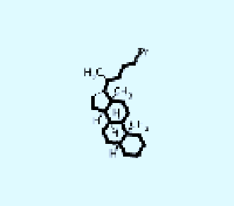 CC(C)CCC[C@@H](C)[C@H]1CC[C@@H]2[C@@H]3CC[C@H]4C[CH]CC[C@]4(C)[C@@H]3CC[C@@]21C